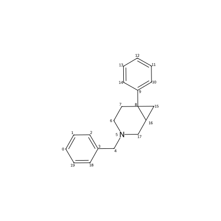 c1ccc(CN2CCC3(c4ccccc4)CC3C2)cc1